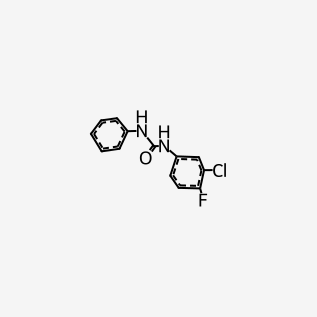 O=C(Nc1ccccc1)Nc1ccc(F)c(Cl)c1